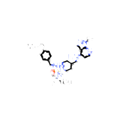 CCn1ncc2c(NCC3CCN(S(=O)(=N[Si](C)(C)C(C)(C)C)NCc4ccc(OC)cc4)CC3)ccnc21